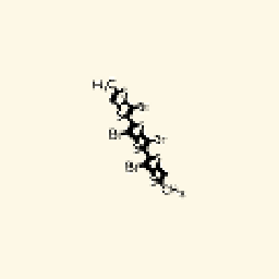 CC1=CC2SC(c3sc4c(Br)c(-c5sc6cc(C)sc6c5Br)sc4c3Br)=C(Br)C2S1